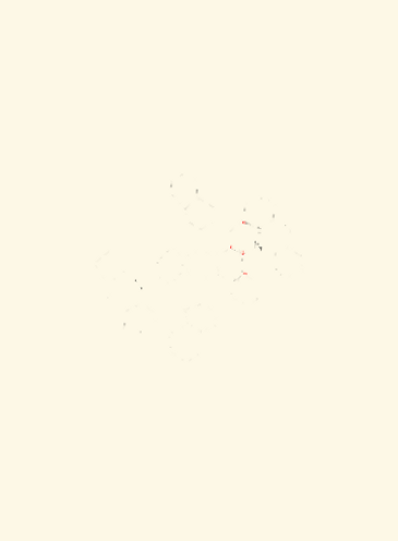 c1ccc(-c2cc3ccccc3cc2-c2c3ccc(N4c5ccccc5Sc5ccccc54)cc3c(-c3cc4ccccc4cc3-c3ccccc3)c3ccc(N4c5ccccc5Sc5ccccc54)cc23)cc1